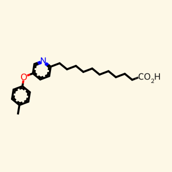 Cc1ccc(Oc2ccc(CCCCCCCCCCC(=O)O)nc2)cc1